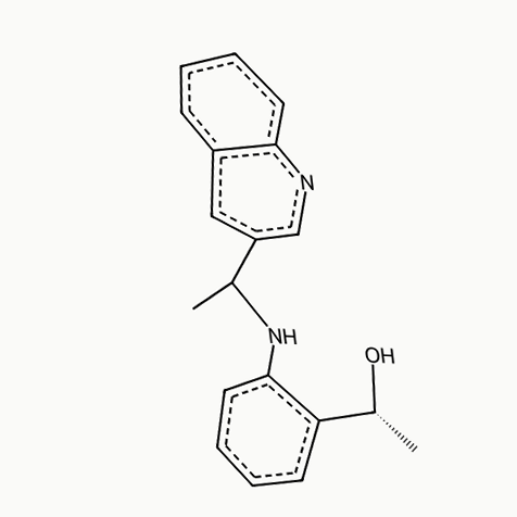 CC(Nc1ccccc1[C@@H](C)O)c1cnc2ccccc2c1